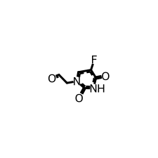 O=CCn1cc(F)c(=O)[nH]c1=O